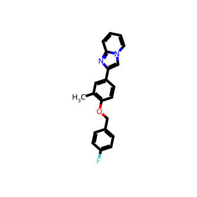 Cc1cc(-c2cn3ccccc3n2)ccc1OCc1ccc(F)cc1